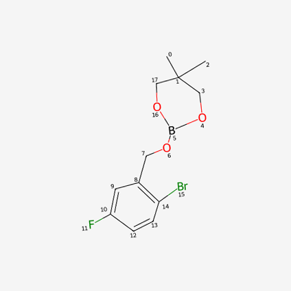 CC1(C)COB(OCc2cc(F)ccc2Br)OC1